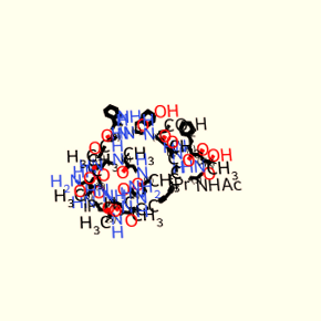 CC(=O)N[C@@H](CC(C)C)C(=O)N[C@H](C(=O)C(=O)[C@H](Cc1ccccc1)NN[C@]1(C)CCCCC#CC#CCCC[C@@](C)(C(=O)CN[C@@H](C)C(=O)CCN[C@@H](C)C(=O)CCN[C@@H](C)C(=O)CCN[C@@H](C)C(=O)CCN[C@@H](C)C(=O)CN[C@H](C)C(N)=O)NC(=O)[C@H](CC(C)C)NN[C@@H](CCC(N)=O)C(=O)CN[C@@H](C)C(=O)CC(=O)[C@H](Cc2c[nH]c3ccccc23)NN[C@@H](Cc2ccc(O)cc2)C(=O)N[C@@H](CCC(=O)O)C(=O)C1=O)[C@@H](C)O